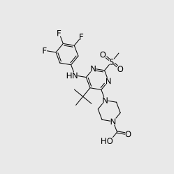 CC(C)(C)c1c(Nc2cc(F)c(F)c(F)c2)nc(S(C)(=O)=O)nc1N1CCN(C(=O)O)CC1